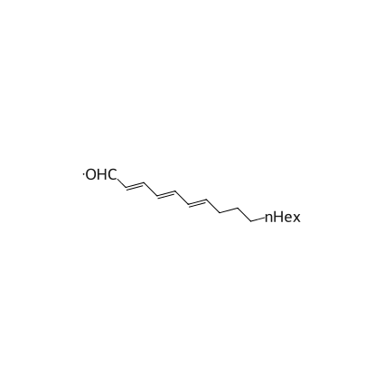 CCCCCCCCCC=CC=CC=C[C]=O